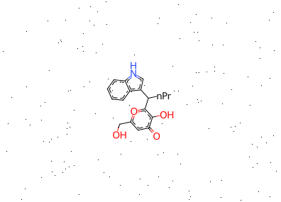 CCCC(c1oc(CO)cc(=O)c1O)c1c[nH]c2ccccc12